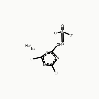 O=S(=O)([O-])[O-].Oc1nc(Cl)nc(Cl)n1.[Na+].[Na+]